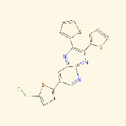 ClCc1ccc(-c2cnc3nc(-c4cccs4)c(-c4cccs4)nc3c2)s1